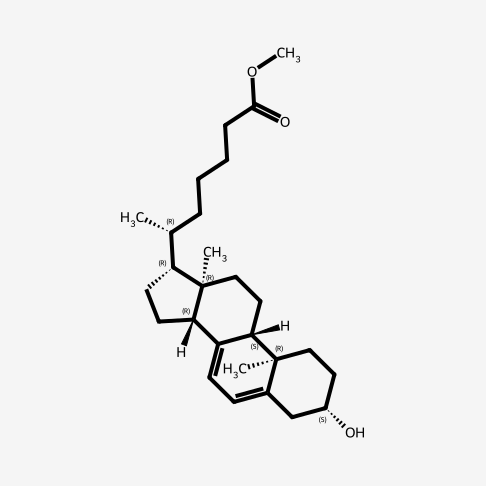 COC(=O)CCCC[C@@H](C)[C@H]1CC[C@H]2C3=CC=C4C[C@@H](O)CC[C@]4(C)[C@H]3CC[C@]12C